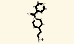 [NH]CCC1CCN(C(=O)c2ccncc2)CC1